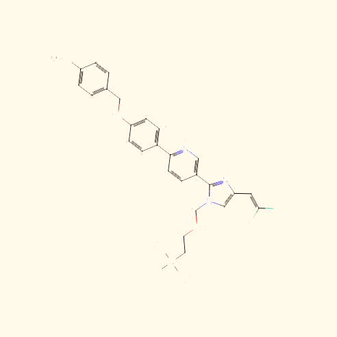 COc1ccc(COc2ccc(-c3ccc(-c4nc(C=C(F)F)cn4COCC[Si](C)(C)C)cn3)cc2)cc1